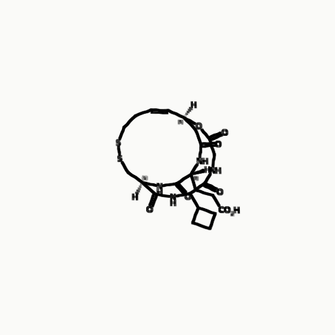 O=C(O)CC[C@H]1NC(=O)C[C@H]2C=CCCSSC[C@@H](NC1=O)C(=O)NC(C1CCC1)C(=O)NCC(=O)O2